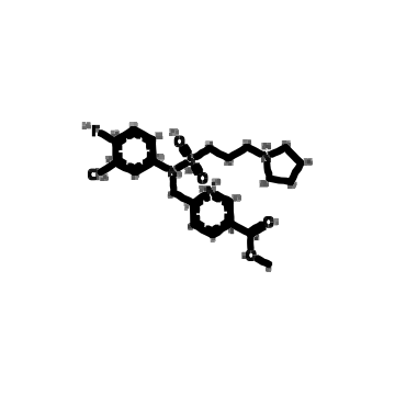 COC(=O)c1ccc(CN(c2ccc(F)c(Cl)c2)S(=O)(=O)CCCN2CCCC2)nc1